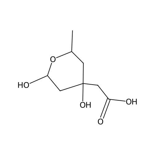 CC1CC(O)(CC(=O)O)CC(O)O1